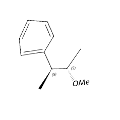 CO[C@@H](C)[C@@H](C)c1ccccc1